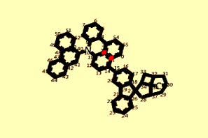 c1ccc(-c2ccccc2N(c2ccc(-c3ccc4c(c3)-c3ccccc3C43C4CC5CC6CC3C6(C5)C4)cc2)c2cc3ccccc3c3ccccc23)cc1